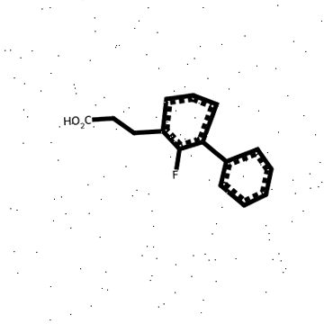 O=C(O)CCc1cccc(-c2ccccc2)c1F